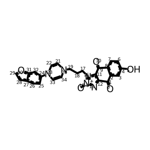 O=C1c2cc(O)ccc2C(=O)c2c1n[n+]([O-])n2CCCN1C=CN(c2ccc3ccoc3c2)C=C1